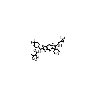 Cc1nonc1C(=O)NC(c1nc2nc(C3(C(=O)NCC4CC4(F)F)CCOCC3)ccc2[nH]1)C1CCC(F)(F)CC1